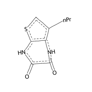 CCCc1csc2[nH]c(=O)c(=O)[nH]c12